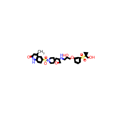 Cc1cc(=O)[nH]c2ccc(S(=O)(=O)N3CCC4(CC3)C[C@@H](NC[C@H](O)COc3cccc(S(=O)(=O)C5(CO)CC5)c3)CO4)cc12